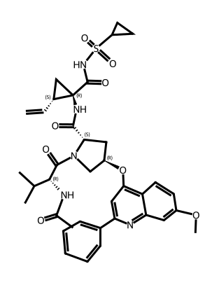 C=C[C@@H]1C[C@]1(NC(=O)[C@@H]1C[C@@H](Oc2cc(-c3ccccc3)nc3cc(OC)ccc23)CN1C(=O)[C@H](NC(C)=O)C(C)C)C(=O)NS(=O)(=O)C1CC1